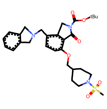 CC(C)(C)OC(=O)N1Cc2c(CN3Cc4ccccc4C3)ccc(OCC3CCN(S(C)(=O)=O)CC3)c2C1=O